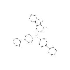 Clc1cc(N(c2ccc(-c3ccccc3)cc2)c2ccc(-c3ccccc3)cc2)cc2c1oc1ccccc12